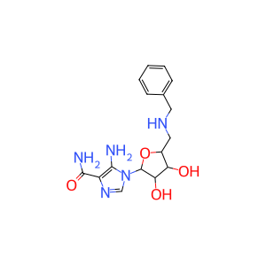 NC(=O)c1ncn(C2OC(CNCc3ccccc3)C(O)C2O)c1N